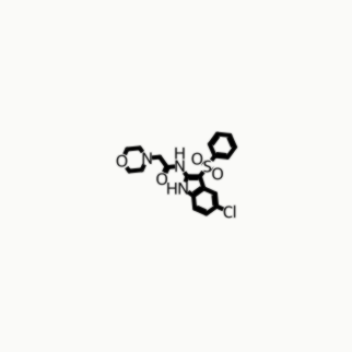 O=C(CN1CCOCC1)Nc1[nH]c2ccc(Cl)cc2c1S(=O)(=O)c1ccccc1